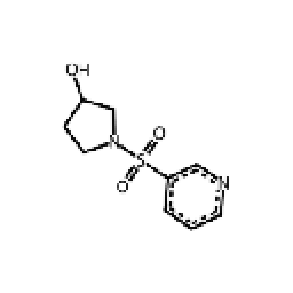 O=S(=O)(c1cccnc1)N1CCC(O)C1